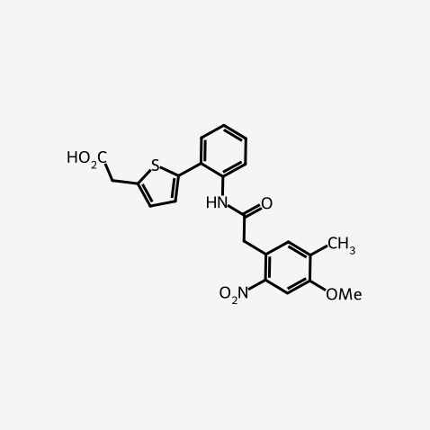 COc1cc([N+](=O)[O-])c(CC(=O)Nc2ccccc2-c2ccc(CC(=O)O)s2)cc1C